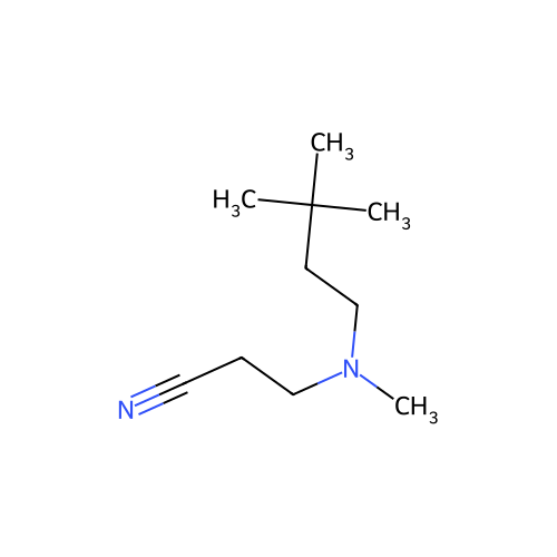 CN(CCC#N)CCC(C)(C)C